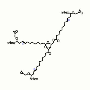 CCCCCCC(C/C=C/CCCCCCCC(=O)OCC(COC(=O)CCCCCCC/C=C/CC(CCCCCC)OCC1CO1)OC(=O)CCCCCCC/C=C/CC(CCCCCC)OCC1CO1)OCC1CC1